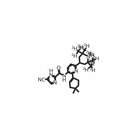 [2H]C([2H])([2H])C1(C([2H])([2H])[2H])CC(c2ccc(NC(=O)c3ncc(C#N)[nH]3)c(C3=CCC(C)(C)CC3)n2)CC(C([2H])([2H])[2H])(C([2H])([2H])[2H])N1CC